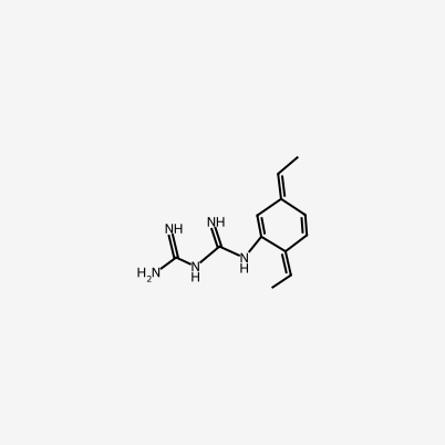 CC=c1ccc(=CC)c(NC(=N)NC(=N)N)c1